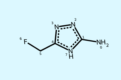 Nc1nnc(CF)[nH]1